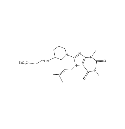 CCOC(=O)CCNC1CCCN(c2nc3c(c(=O)n(C)c(=O)n3C)n2CC=C(C)C)C1